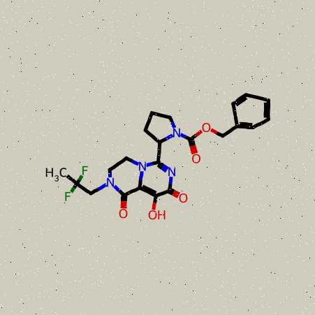 CC(F)(F)CN1CCn2c(C3CCCN3C(=O)OCc3ccccc3)nc(=O)c(O)c2C1=O